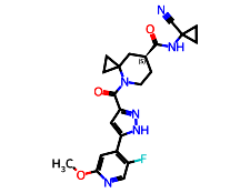 COc1cc(-c2cc(C(=O)N3CC[C@H](C(=O)NC4(C#N)CC4)CC34CC4)n[nH]2)c(F)cn1